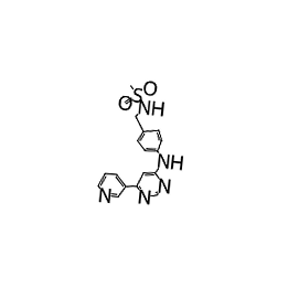 CS(=O)(=O)NCc1ccc(Nc2cc(-c3cccnc3)ncn2)cc1